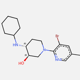 Cc1cnc(N2CC[C@@H](NC3CCCCC3)[C@H](O)C2)c(Br)c1